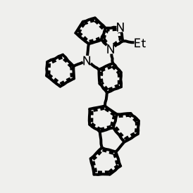 CCc1nc2cccc3c2n1-c1ccc(-c2ccc4c5c(cccc25)-c2ccccc2-4)cc1N3c1ccccc1